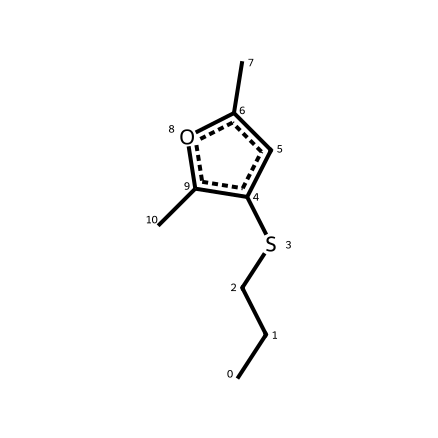 CCCSc1cc(C)oc1C